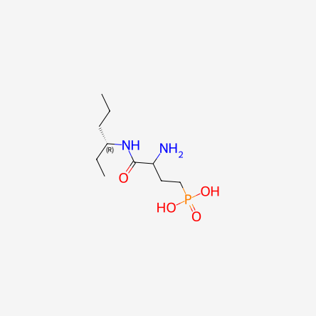 CCC[C@@H](CC)NC(=O)C(N)CCP(=O)(O)O